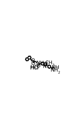 Cl.Cl.Cn1c(-c2ccc(C(=N)N)cc2)nc2cc(C(=O)NCCC(=O)OCc3cccc4ccccc34)ccc21